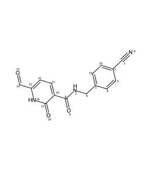 N#Cc1ccc(CNC(=O)c2ccc(C=O)[nH]c2=O)cc1